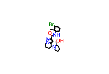 Cc1c(Br)cccc1NC(=O)c1cc2n(n1)CCC[C@H]2N1CCCC[C@@H]1CO